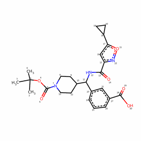 CC(C)(C)OC(=O)N1CCC(C(NC(=O)c2cc(C3CC3)on2)c2cccc(C(=O)O)c2)CC1